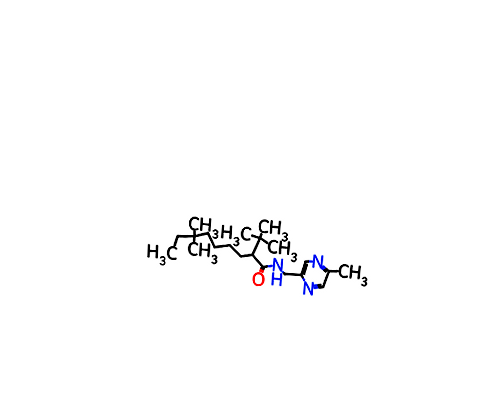 CCC(C)(C)CCCCC(C(=O)NCc1cnc(C)cn1)C(C)(C)C